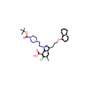 Cc1cc2c(CCCOc3cccc4ccccc34)cn(CCN3CCN(C(=O)OC(C)(C)C)CC3)c2c(C(=O)O)c1Cl